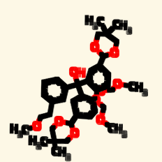 COCCc1cccc(C(O)(c2cc(C3OCC(C)(C)CO3)ccc2OCOC)c2cc(C3OCC(C)(C)CO3)ccc2OCOC)c1